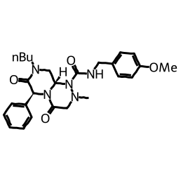 CCCCN1C[C@H]2N(C(=O)CN(C)N2C(=O)NCc2ccc(OC)cc2)[C@@H](c2ccccc2)C1=O